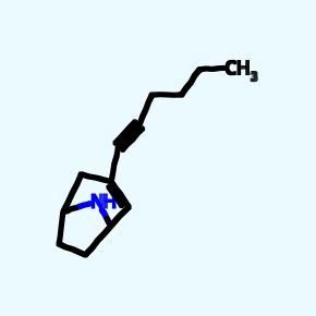 CCCCC#CC1=CC2CCC(C1)N2